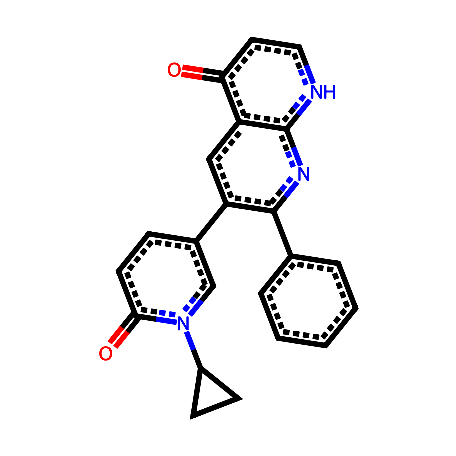 O=c1cc[nH]c2nc(-c3ccccc3)c(-c3ccc(=O)n(C4CC4)c3)cc12